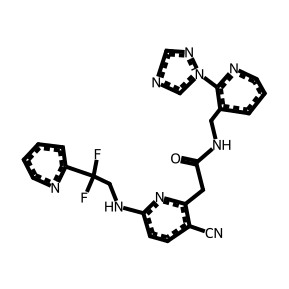 N#Cc1ccc(NCC(F)(F)c2ccccn2)nc1CC(=O)NCc1cccnc1-n1cncn1